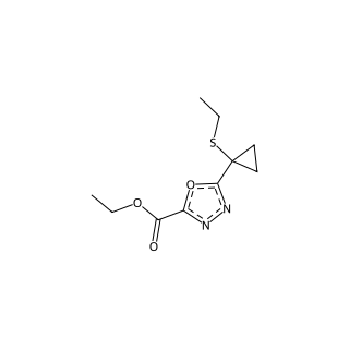 CCOC(=O)c1nnc(C2(SCC)CC2)o1